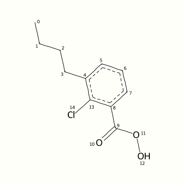 CCCCc1cccc(C(=O)OO)c1Cl